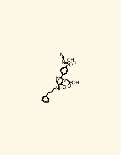 CS(=O)(=NC#N)c1ccc(-c2ncc(NCCCc3ccccc3)c(=O)n2CC(=O)O)cc1